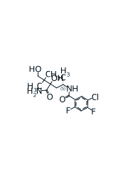 C[C@@H](CC(O)(C(N)=O)C(C)(C)CO)NC(=O)c1cc(Cl)c(F)cc1F